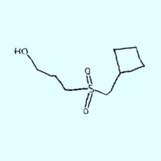 O=S(=O)(CCCO)CC1CCC1